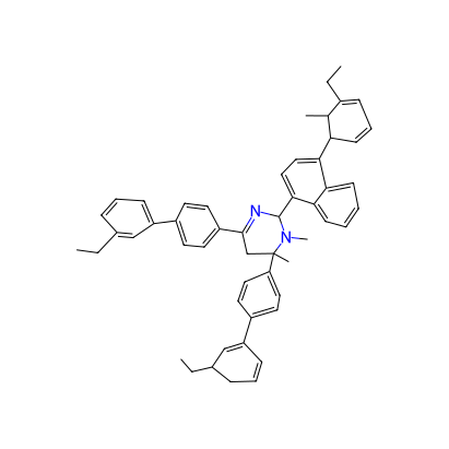 CCC1=CC=CC(c2ccc(C3N=C(c4ccc(-c5cccc(CC)c5)cc4)CC(C)(c4ccc(C5=CC(CC)CC=C5)cc4)N3C)c3ccccc23)C1C